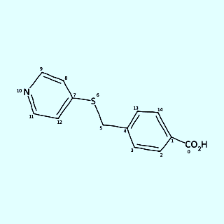 O=C(O)c1ccc(CSc2ccncc2)cc1